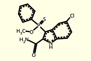 COP(=S)(c1ccccc1)c1c(C(N)=O)[nH]c2ccc(Cl)cc12